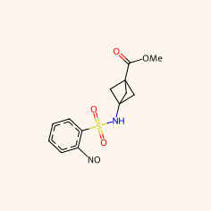 COC(=O)C12CC(NS(=O)(=O)c3ccccc3N=O)(C1)C2